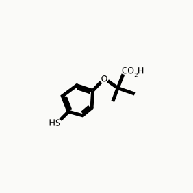 CC(C)(Oc1ccc(S)cc1)C(=O)O